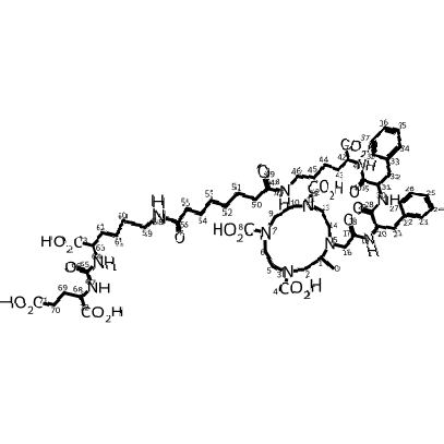 CC1CN(C(=O)O)CCN(C(=O)O)CCN(C(=O)O)CCN1CC(=O)NC(Cc1ccccc1)C(=O)NC(Cc1ccccc1)C(=O)NC(CCCCNC(=O)CCCCCCC(=O)NCCCCC(NC(=O)NC(CCC(=O)O)C(=O)O)C(=O)O)C(=O)O